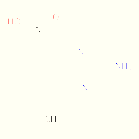 Cc1ccc(B(O)O)c2nc(N)[nH]c12